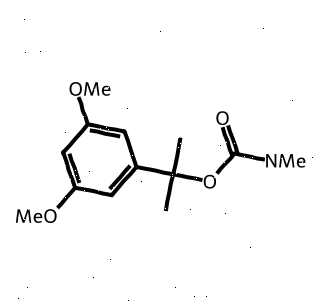 CNC(=O)OC(C)(C)c1cc(OC)cc(OC)c1